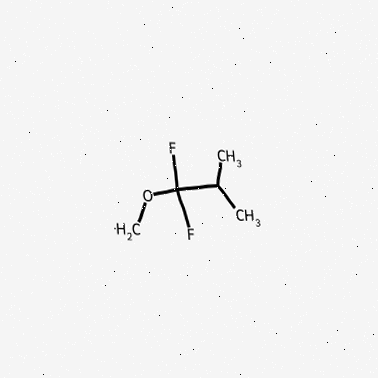 [CH2]OC(F)(F)C(C)C